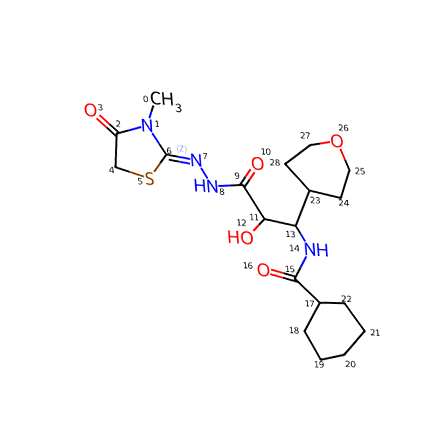 CN1C(=O)CS/C1=N\NC(=O)C(O)C(NC(=O)C1CCCCC1)C1CCOCC1